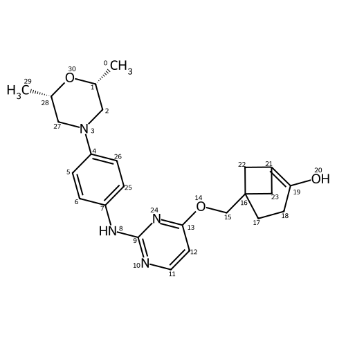 C[C@@H]1CN(c2ccc(Nc3nccc(OCC45CCC(O)=C(C4)C5)n3)cc2)C[C@H](C)O1